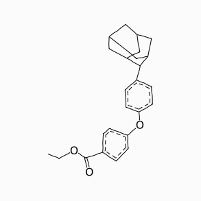 CCOC(=O)c1ccc(Oc2ccc(C3C4CC5CC(C4)CC3C5)cc2)cc1